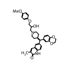 COc1ccc(OCC(O)CN2CCC(=C(c3ccc4c(c3)OCCO4)c3ccc4[nH]c(=O)c(C)cc4c3)CC2)cc1